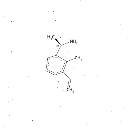 C=Cc1cccc([C@@H](C)N)c1C